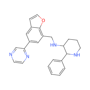 c1ccc(C2NCCCC2NCc2cc(-c3cnccn3)cc3ccoc23)cc1